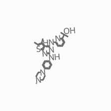 Cc1sc2nc(Nc3ccc(N4CCN(C)CC4)cc3)nc(Nc3cccc(C(C)(C)O)n3)c2c1C